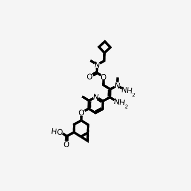 Cc1nc(/C(N)=C(\COC(=O)N(C)CC2CCC2)N(C)N)ccc1OC1CC2CC2C(C(=O)O)C1